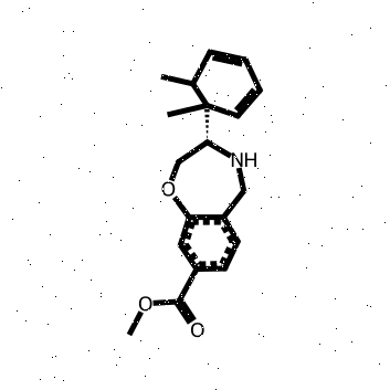 COC(=O)c1ccc2c(c1)OC[C@H](C1(C)C=CC=CC1C)NC2